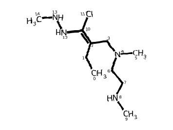 CC/C(CN(C)CCNC)=C(/Cl)NNC